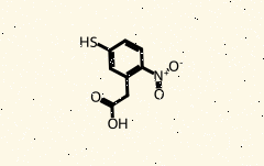 O=C(O)Cc1cc(S)ccc1[N+](=O)[O-]